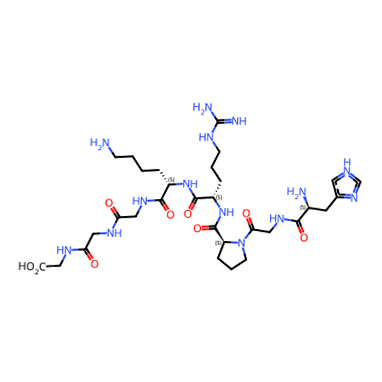 N=C(N)NCCC[C@H](NC(=O)[C@@H]1CCCN1C(=O)CNC(=O)[C@@H](N)Cc1c[nH]cn1)C(=O)N[C@@H](CCCCN)C(=O)NCC(=O)NCC(=O)NCC(=O)O